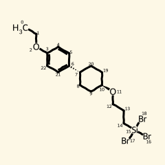 CCOc1ccc([C@H]2CC[C@H](OCCC[Si](Br)(Br)Br)CC2)cc1